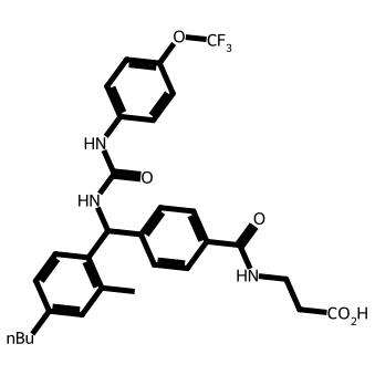 CCCCc1ccc(C(NC(=O)Nc2ccc(OC(F)(F)F)cc2)c2ccc(C(=O)NCCC(=O)O)cc2)c(C)c1